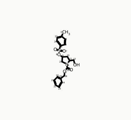 Cc1ccc(S(=O)(=O)OC2CC(CO)N(C(=O)OCc3ccccc3)C2)cc1